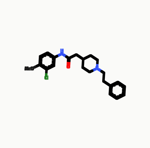 COc1ccc(NC(=O)CC2CCN(CCc3ccccc3)CC2)cc1Cl